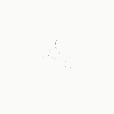 Nc1nc(N)nc(C2CCC(F)(F)C2)n1